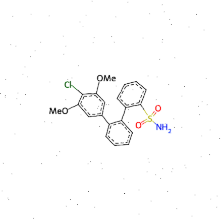 COc1cc(-c2ccccc2-c2ccccc2S(N)(=O)=O)cc(OC)c1Cl